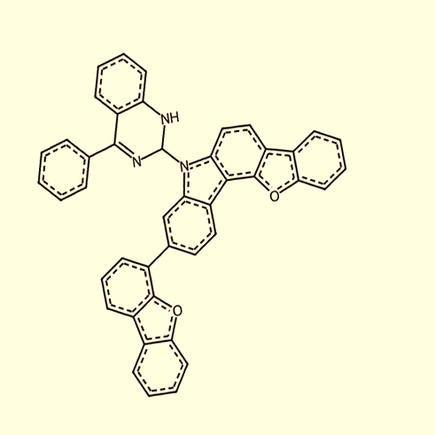 c1ccc(C2=NC(n3c4cc(-c5cccc6c5oc5ccccc56)ccc4c4c5oc6ccccc6c5ccc43)Nc3ccccc32)cc1